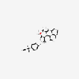 Cc1c(-c2c(C(N)=O)nc3cccc(F)c3c2C(N)=O)c(C(F)(F)F)nn1Cc1ccc(C(C)(C)C#N)cc1